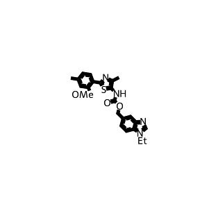 CCn1cnc2cc(COC(=O)Nc3sc(-c4ccc(C)cc4OC)nc3C)ccc21